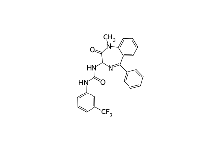 CN1C(=O)C(NC(=O)Nc2cccc(C(F)(F)F)c2)N=C(c2ccccc2)c2ccccc21